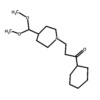 COC(OC)C1CCN(CCC(=O)C2CCCCC2)CC1